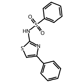 O=S(=O)(Nc1nc(-c2ccccc2)cs1)c1ccccc1